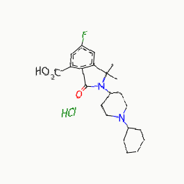 CC1(C)c2cc(F)cc(C(=O)O)c2C(=O)N1C1CCN(C2CCCCC2)CC1.Cl